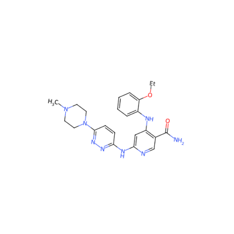 CCOc1ccccc1Nc1cc(Nc2ccc(N3CCN(C)CC3)nn2)ncc1C(N)=O